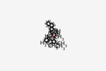 [2H]C([2H])([2H])c1ccc(-c2nc3ccccc3n2-c2c(C(C)C)cc(C(C)C)cc2C(C)C)c2oc3cc4c(ccc5ccccc54)cc3c12